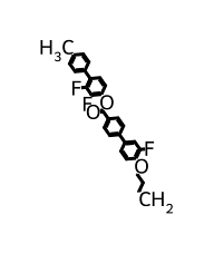 C=CCCOc1ccc(-c2ccc(C(=O)Oc3ccc(-c4ccc(C)cc4)c(F)c3F)cc2)cc1F